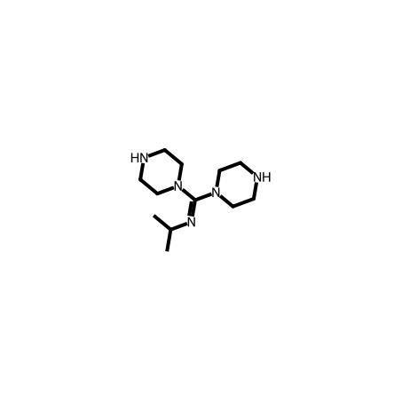 CC(C)N=C(N1CCNCC1)N1CCNCC1